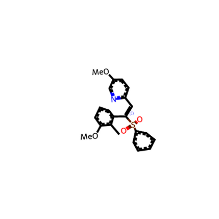 COc1ccc(/C=C(\c2cccc(OC)c2C)S(=O)(=O)c2ccccc2)nc1